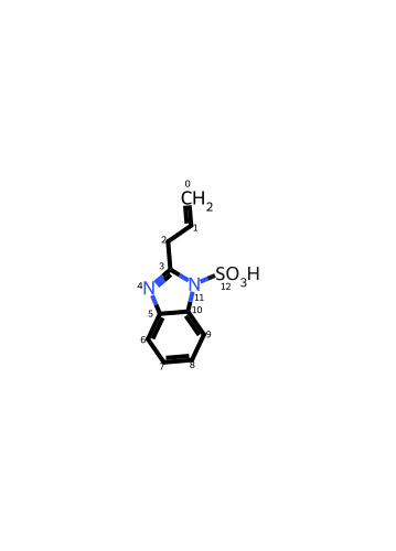 C=CCc1nc2ccccc2n1S(=O)(=O)O